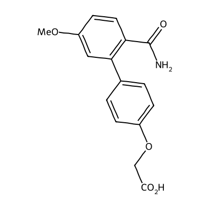 COc1ccc(C(N)=O)c(-c2ccc(OCC(=O)O)cc2)c1